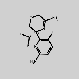 NC1=N[C@](c2nc(N)ccc2F)(C(F)F)COC1